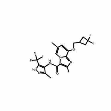 Cc1cc(OCC2CC(F)(F)C2)c2nc(C)c(C(=O)Nc3c(C)n[nH]c3C(F)(F)F)n2c1